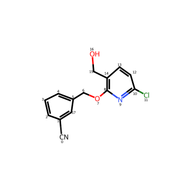 N#Cc1cccc(COc2nc(Cl)ccc2CO)c1